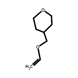 C=COCC1CCOCC1